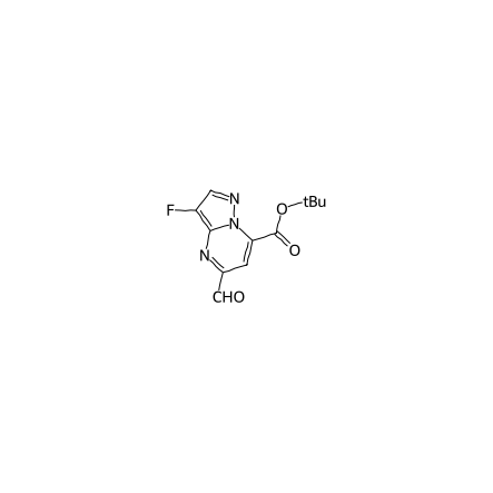 CC(C)(C)OC(=O)c1cc(C=O)nc2c(F)cnn12